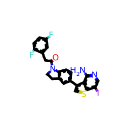 Nc1ncc(I)c2scc(-c3ccc4c(c3)CCN4C(=O)Cc3cc(F)ccc3F)c12